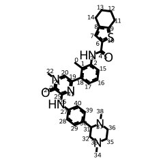 Cc1c(NC(=O)c2cc3c(s2)CCCC3)cccc1-c1cn(C)c(=O)c(Nc2ccc(C3CN(C)CCN3C)cc2)n1